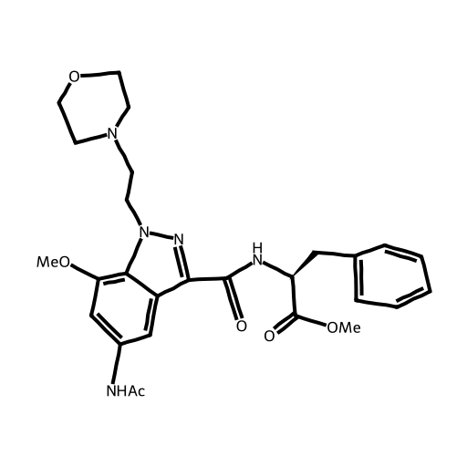 COC(=O)[C@H](Cc1ccccc1)NC(=O)c1nn(CCN2CCOCC2)c2c(OC)cc(NC(C)=O)cc12